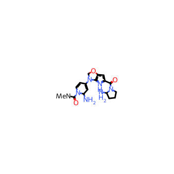 CNC(=O)N1C=CC(N2COc3cc(C(=O)N4CCCC4N)[nH]c32)=CC1N